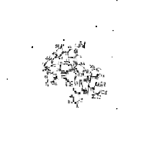 N#Cc1cc(-c2ccc(-c3nc(-c4ccccc4)nc(-c4ccccc4-c4ccccc4)n3)cc2)cc(-c2cccc(-c3cccc(-c4cccc5c4-c4cccc6cccc-5c46)c3)c2)c1